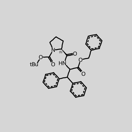 CC(C)(C)OC(=O)N1CCC[C@H]1C(=O)NC(C(=O)OCc1ccccc1)C(c1ccccc1)c1ccccc1